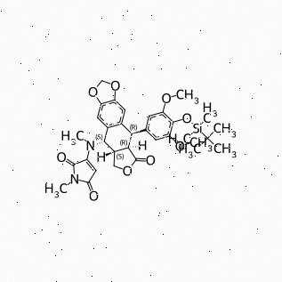 COc1cc([C@@H]2c3cc4c(cc3[C@@H](N(C)C3=CC(=O)N(C)C3=O)[C@H]3COC(=O)[C@H]23)OCO4)cc(OC)c1O[Si](C)(C)C(C)(C)C